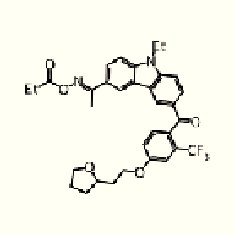 CCC(=O)O/N=C(\C)c1ccc2c(c1)c1cc(C(=O)c3ccc(OCCC4CCCO4)cc3C(F)(F)F)ccc1n2CC